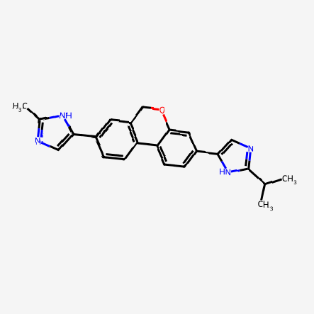 Cc1ncc(-c2ccc3c(c2)COc2cc(-c4cnc(C(C)C)[nH]4)ccc2-3)[nH]1